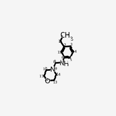 CCc1cccc(NCN2CCOCC2)c1